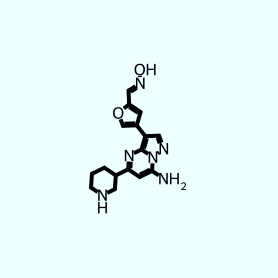 Nc1cc(C2CCCNC2)nc2c(-c3coc(C=NO)c3)cnn12